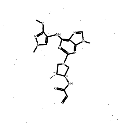 C=CC(=O)N[C@@H]1CN(c2nc(Nc3cn(C)nc3OC)c3ncn(C)c3n2)C[C@H]1C